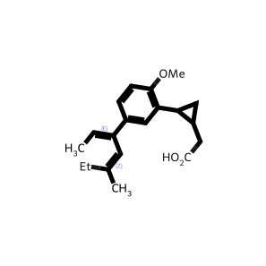 C/C=C(\C=C(\C)CC)c1ccc(OC)c(C2CC2CC(=O)O)c1